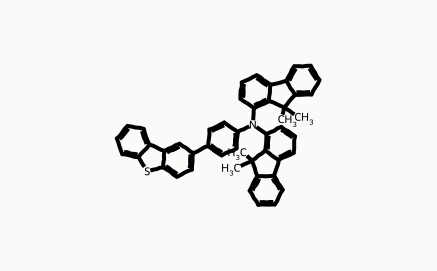 CC1(C)c2ccccc2-c2cccc(N(c3ccc(-c4ccc5sc6ccccc6c5c4)cc3)c3cccc4c3C(C)(C)c3ccccc3-4)c21